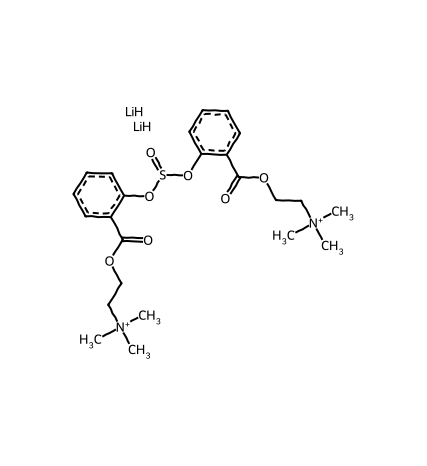 C[N+](C)(C)CCOC(=O)c1ccccc1OS(=O)Oc1ccccc1C(=O)OCC[N+](C)(C)C.[LiH].[LiH]